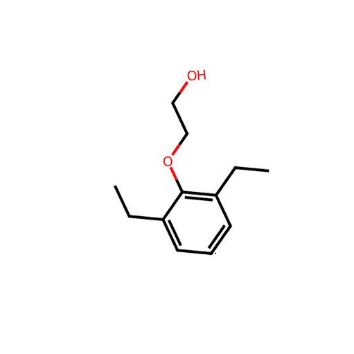 CCc1c[c]cc(CC)c1OCCO